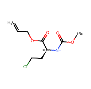 C=CCOC(=O)[C@H](CCCl)NC(=O)OC(C)(C)C